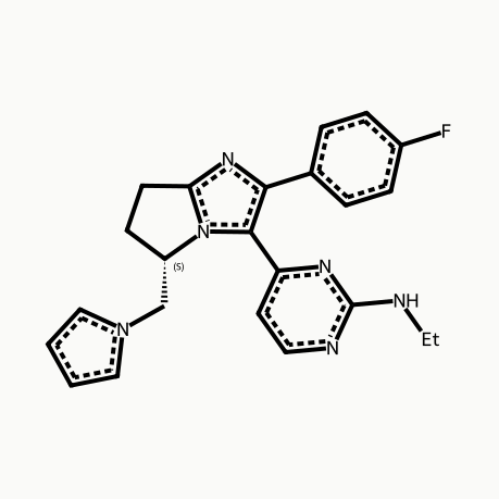 CCNc1nccc(-c2c(-c3ccc(F)cc3)nc3n2[C@H](Cn2cccc2)CC3)n1